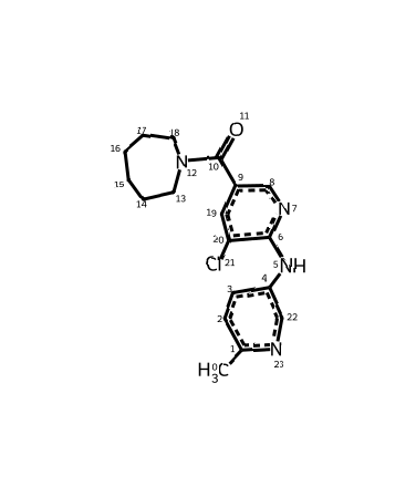 Cc1ccc(Nc2ncc(C(=O)N3CCCCCC3)cc2Cl)cn1